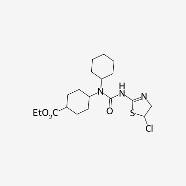 CCOC(=O)C1CCC(N(C(=O)NC2=NCC(Cl)S2)C2CCCCC2)CC1